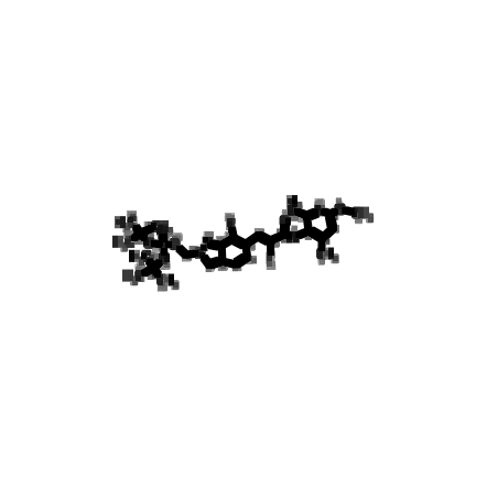 COc1cc(C)c(NC(=O)/C(F)=C/c2ccc3cn(COP(=O)(OC(C)(C)C)OC(C)(C)C)nc3c2F)c(C)n1